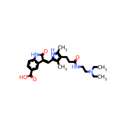 CCN(CC)CCNC(=O)CCc1c(C)[nH]c(C=C2C(=O)Nc3ccc(C(=O)O)cc32)c1C